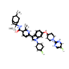 CC1CC2CC(C1)C(NC(=O)c1ccc(-c3cn(C4CCC(F)CC4)c4cc(OC5CCN(c6ncc(F)cn6)CC5)ccc34)nc1C(F)(F)F)(C(=O)O)C2